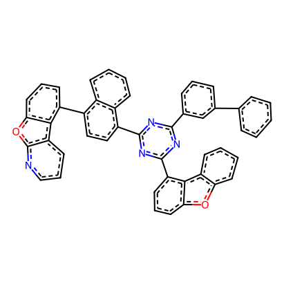 c1ccc(-c2cccc(-c3nc(-c4ccc(-c5cccc6oc7ncccc7c56)c5ccccc45)nc(-c4cccc5oc6ccccc6c45)n3)c2)cc1